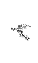 C=CC1CC1(NC(=O)C1CCN(C(=O)OC(C)(C)C)C1)C(=O)NS(=O)(=O)c1cccc(OCc2ccccc2)c1